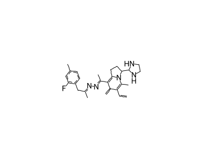 C=CC1=C(C)N2C(=C(/C(C)=N/N=C(\C)Cc3ccc(C)cc3F)C1=C)CCC2C1NCCN1